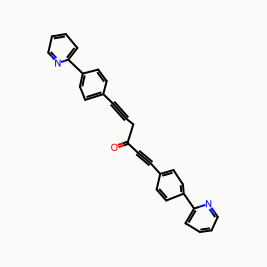 O=C(C#Cc1ccc(-c2ccccn2)cc1)CC#Cc1ccc(-c2ccccn2)cc1